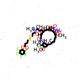 COc1cc2cc(c1Cl)N(C)C(=O)C[C@@H]1OC([C@H](C)N(C)C(=O)CCSSCCCC(=O)Oc3c(F)c(F)c(F)c(F)c3F)=C[C@]13O[C@H]3[C@H](C)[C@@H]1C[C@@](O)(NC(=O)O1)[C@H](OC)/C=C/C=C(\C)C2